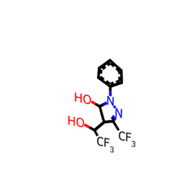 OC1C(C(O)C(F)(F)F)C(C(F)(F)F)=NN1c1ccccc1